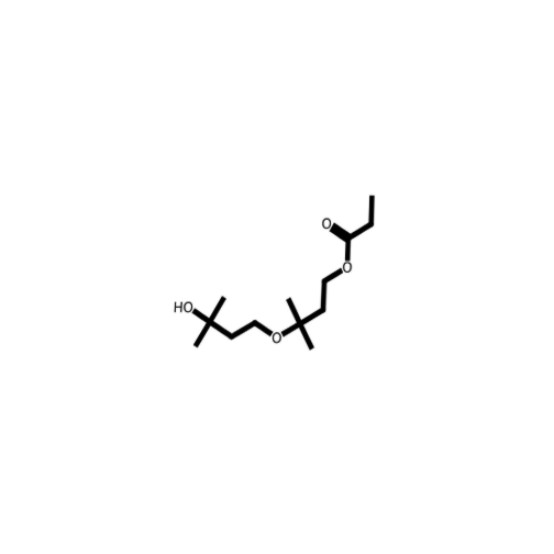 CCC(=O)OCCC(C)(C)OCCC(C)(C)O